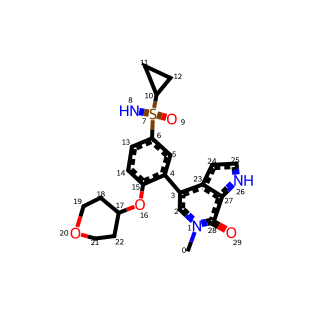 Cn1cc(-c2cc(S(=N)(=O)C3CC3)ccc2OC2CCOCC2)c2cc[nH]c2c1=O